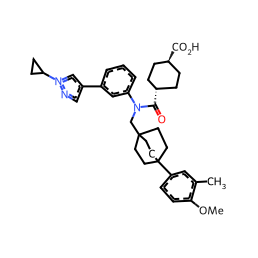 COc1ccc(C23CCC(CN(c4cccc(-c5cnn(C6CC6)c5)c4)C(=O)[C@H]4CC[C@H](C(=O)O)CC4)(CC2)CC3)cc1C